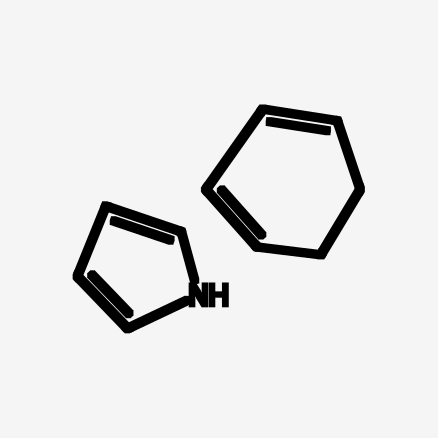 C1=CCCC=C1.c1cc[nH]c1